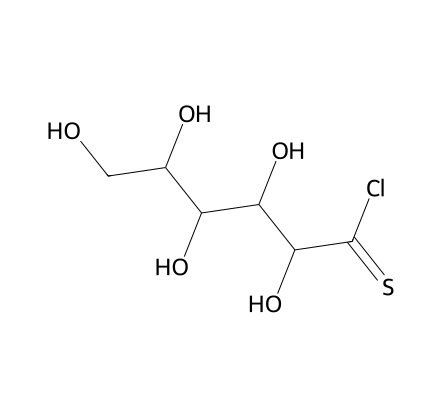 OCC(O)C(O)C(O)C(O)C(=S)Cl